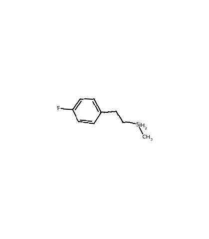 C[SiH2]CCc1ccc(F)cc1